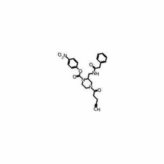 C#CCCC(=O)N1CCN(C(=O)Oc2ccc([N+](=O)[O-])cc2)C(CNC(=O)Cc2ccccc2)C1